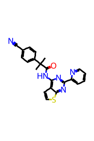 CC(C)(C(=O)Nc1nc(-c2ccccn2)nc2sccc12)c1ccc(C#N)cc1